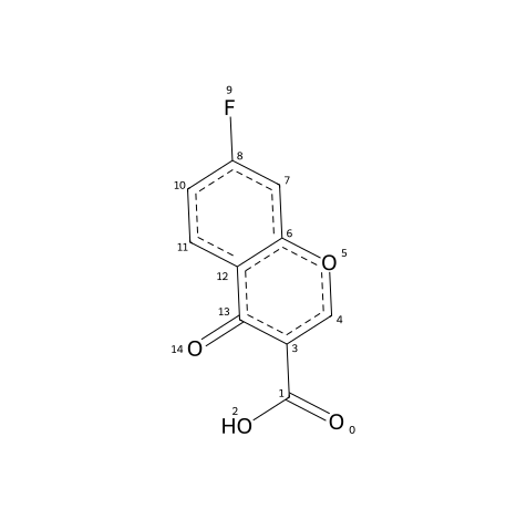 O=C(O)c1coc2cc(F)ccc2c1=O